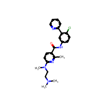 Cc1nc(N(C)CCN(C)C)ccc1C(=O)Nc1ccc(Cl)c(-c2ccccn2)c1